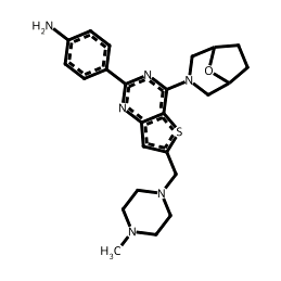 CN1CCN(Cc2cc3nc(-c4ccc(N)cc4)nc(N4CC5CCC(C4)O5)c3s2)CC1